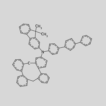 CC1(C)c2ccccc2-c2ccc(N(c3ccc(-c4ccc(-c5ccccc5)cc4)cc3)c3ccc4c(c3)Cc3ccccc3-c3ccccc3Cc3ccccc3-4)cc21